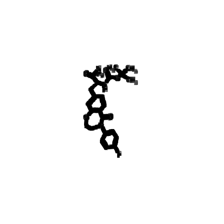 CC(C)(C)OC(=O)N[C@@H](Cc1ccc2c(c1)OCCN(c1ccc(F)cc1)C2=O)C(N)=O